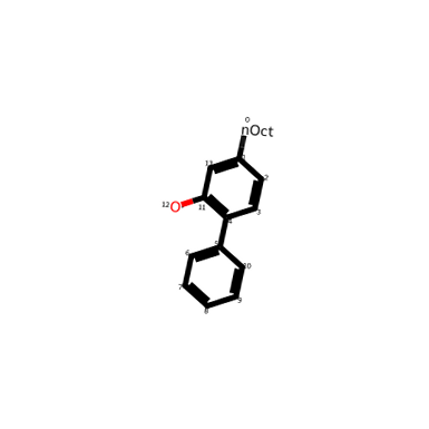 CCCCCCCCc1ccc(-c2ccccc2)c([O])c1